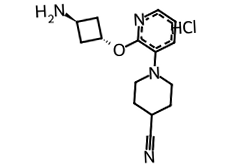 Cl.N#CC1CCN(c2cccnc2O[C@H]2C[C@H](N)C2)CC1